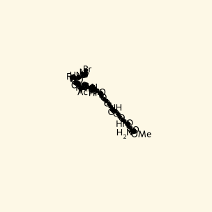 COC(=O)[C@@H](N)CCC(=O)NCCOCCOCC(=O)NCCOCCOCC(=O)NCc1ncc(-c2ccc3c(c2)c(C(C)=O)nn3CC(=O)N2C[C@H](F)C[C@H]2C(=O)Nc2cccc(Br)n2)cn1